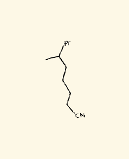 CC(C)C(C)CCCCC#N